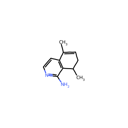 CC1=CCC(C)c2c1ccnc2N